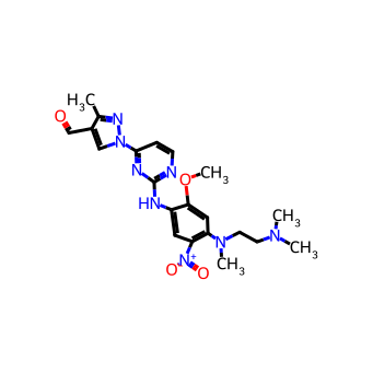 COc1cc(N(C)CCN(C)C)c([N+](=O)[O-])cc1Nc1nccc(-n2cc(C=O)c(C)n2)n1